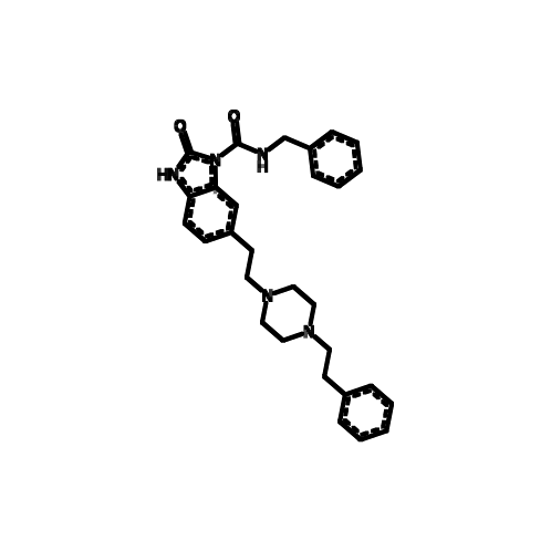 O=C(NCc1ccccc1)n1c(=O)[nH]c2ccc(CCN3CCN(CCc4ccccc4)CC3)cc21